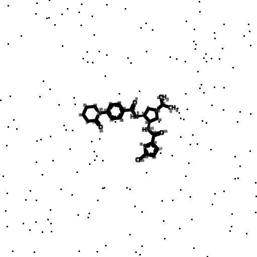 CC(C)N1C[C@H](NC(=O)c2ccc(N3CCCCC3=O)cc2)[C@H](NC(=O)c2ccc(Cl)s2)C1